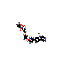 CN(CCCO[C@H]1C[C@H](Oc2ccc(-c3ccc4c5cnccc5n(C)c4c3)cn2)C1)C(=O)OC(C)(C)C